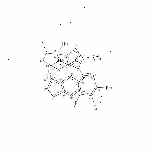 Cn1nc2c(c1-c1cc(F)c(F)c(F)c1)C[C@H]1CC[C@@H]2N1C(=O)c1c(F)ccc2cc[nH]c12